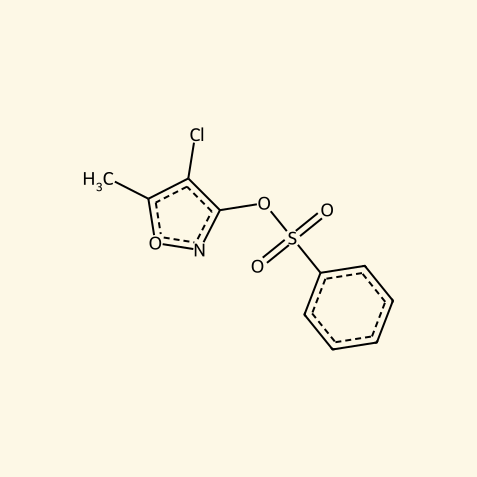 Cc1onc(OS(=O)(=O)c2ccccc2)c1Cl